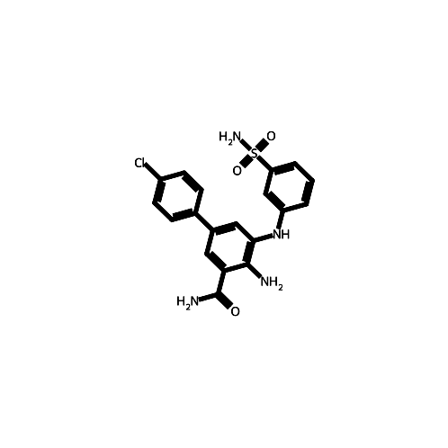 NC(=O)c1cc(-c2ccc(Cl)cc2)cc(Nc2cccc(S(N)(=O)=O)c2)c1N